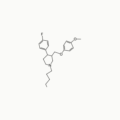 CCCCCN1CCC(c2ccc(F)cc2)C(COc2ccc(OC)cc2)C1